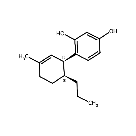 CCC[C@H]1CCC(C)=C[C@H]1c1ccc(O)cc1O